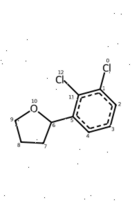 Clc1cccc(C2CC[CH]O2)c1Cl